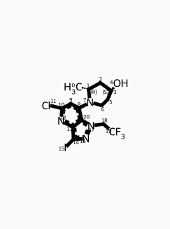 C[C@@H]1C[C@@H](O)CCN1c1cc(Cl)nc2c(I)nn(CC(F)(F)F)c12